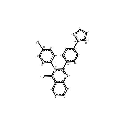 O=c1c2ccccc2nc(-c2ccc(-c3ncc[nH]3)cc2)n1-c1ccc(Cl)cn1